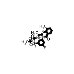 Cc1cccc2c(=O)n(-c3cc(F)cc(F)c3)c([C@H](C)NC(=O)OC(C)(C)C)nc12